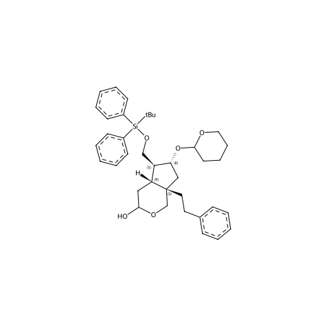 CC(C)(C)[Si](OC[C@@H]1[C@H]2CC(O)OC[C@@]2(CCc2ccccc2)C[C@H]1OC1CCCCO1)(c1ccccc1)c1ccccc1